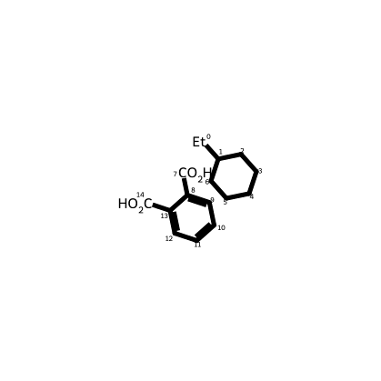 CCC1CCCCC1.O=C(O)c1ccccc1C(=O)O